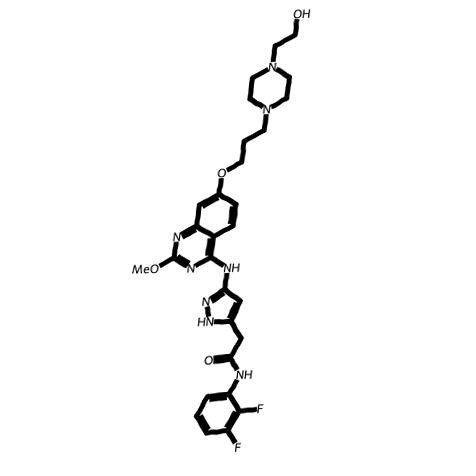 COc1nc(Nc2cc(CC(=O)Nc3cccc(F)c3F)[nH]n2)c2ccc(OCCCN3CCN(CCO)CC3)cc2n1